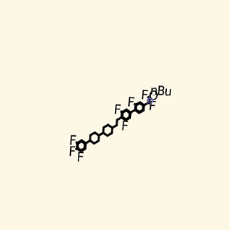 CCCCO/C(F)=C(\F)c1ccc(-c2cc(F)c(CCC3CCC(C4CCC(c5cc(F)c(F)c(F)c5)CC4)CC3)c(F)c2)c(F)c1